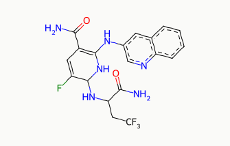 NC(=O)C1=C(Nc2cnc3ccccc3c2)NC(NC(CC(F)(F)F)C(N)=O)C(F)=C1